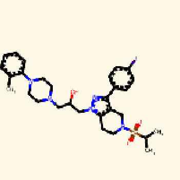 Cc1ccccc1N1CCN(CC(O)Cn2nc(-c3ccc(I)cc3)c3c2CCN(S(=O)(=O)C(C)C)C3)CC1